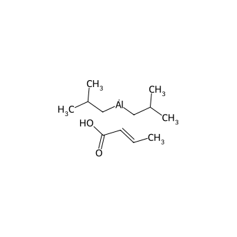 CC(C)[CH2][Al][CH2]C(C)C.CC=CC(=O)O